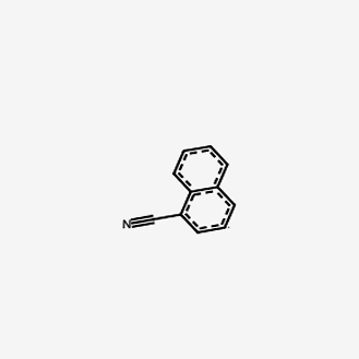 N#Cc1c[c]cc2ccccc12